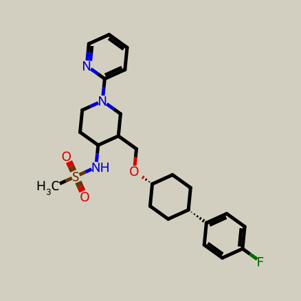 CS(=O)(=O)NC1CCN(c2ccccn2)CC1CO[C@H]1CC[C@@H](c2ccc(F)cc2)CC1